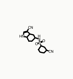 N#CC1=CNC2CCC(NS(=O)(=O)C3CCCC(C#N)C3)CC12